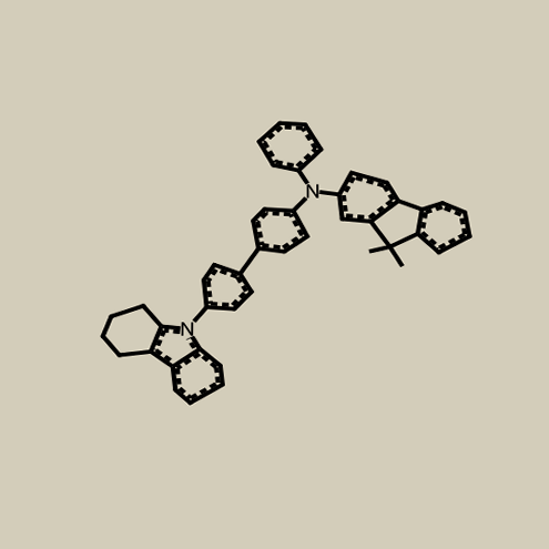 CC1(C)c2ccccc2-c2ccc(N(c3ccccc3)c3ccc(-c4ccc(-n5c6c(c7ccccc75)CCCC6)cc4)cc3)cc21